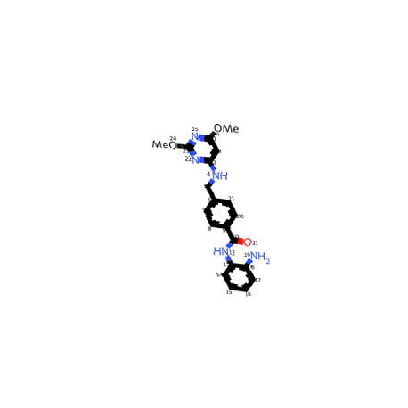 COc1cc(NCc2ccc(C(=O)Nc3ccccc3N)cc2)nc(OC)n1